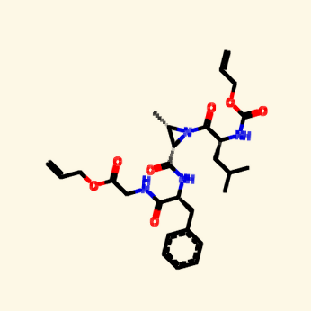 C=CCOC(=O)CNC(=O)[C@H](Cc1ccccc1)NC(=O)[C@@H]1[C@H](C)N1C(=O)[C@H](CC(C)C)NC(=O)OCC=C